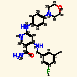 Cc1cc(F)cc(CNc2cc(Nc3ccc(N4CCOCC4)cc3)ncc2C(N)=O)c1